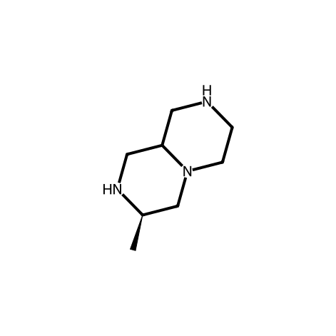 C[C@@H]1CN2CCNCC2CN1